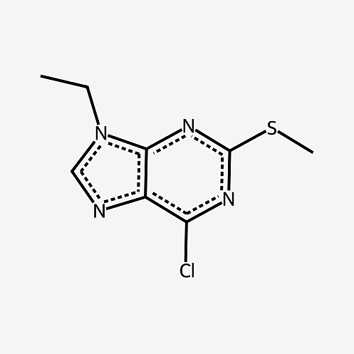 CCn1cnc2c(Cl)nc(SC)nc21